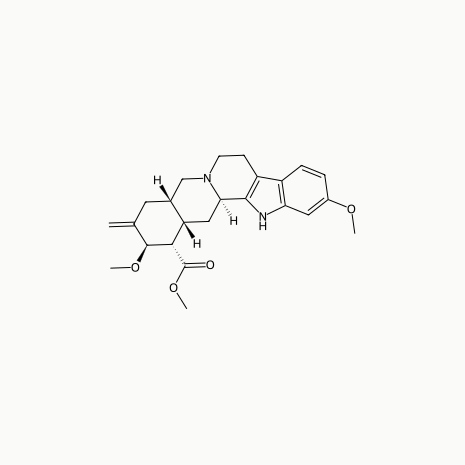 C=C1C[C@@H]2CN3CCc4c([nH]c5cc(OC)ccc45)[C@H]3C[C@@H]2[C@H](C(=O)OC)[C@H]1OC